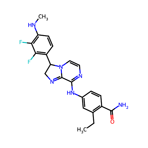 CCc1cc(NC2=NC=CN3C2=NCC3c2ccc(NC)c(F)c2F)ccc1C(N)=O